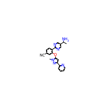 CC(N)c1cnc(-c2ccc(C#N)cc2Oc2cc(-c3ccccn3)nn2C)nc1